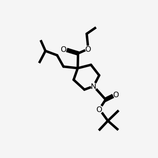 CCOC(=O)C1(CCC(C)C)CCN(C(=O)OC(C)(C)C)CC1